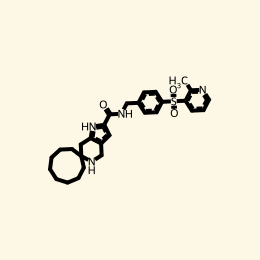 Cc1ncccc1S(=O)(=O)c1ccc(CNC(=O)c2cc3c([nH]2)CC2(CCCCCCCC2)NC3)cc1